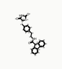 O=C1NC(=O)[C@@H](Cc2ccc(CCNC(=O)C3c4ccccc4-c4ccccc43)cc2)S1